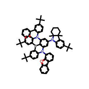 CC(C)(C)c1ccc2c(c1)B1c3cc(C(C)(C)C)ccc3N(c3cccc4c3oc3ccccc34)c3cc(N4c5ccc(C(C)(C)C)cc5C5(C)CCCCC45C)cc(c31)N2c1ccc(C(C)(C)C)cc1-c1ccccc1